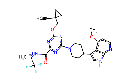 C#CC1(COc2nc(C(=O)N[C@@H](C)C(F)(F)F)nc(N3CCC(c4c[nH]c5nccc(OC)c45)CC3)n2)CC1